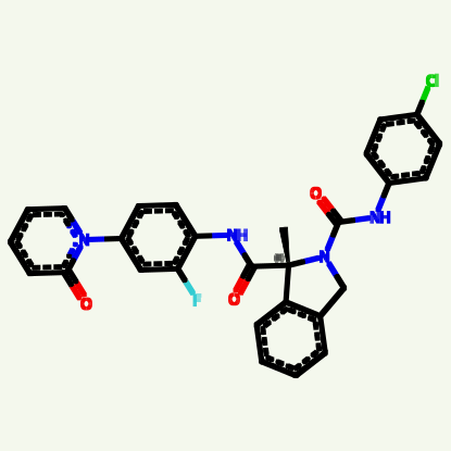 C[C@]1(C(=O)Nc2ccc(-n3ccccc3=O)cc2F)c2ccccc2CN1C(=O)Nc1ccc(Cl)cc1